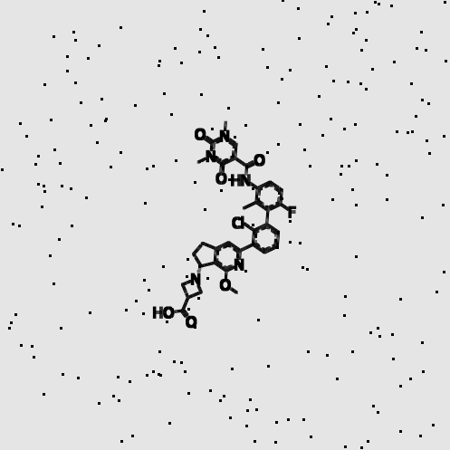 COc1nc(-c2cccc(-c3c(F)ccc(NC(=O)c4cn(C)c(=O)n(C)c4=O)c3C)c2Cl)cc2c1[C@H](N1CC(C(=O)O)C1)CC2